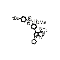 COc1cc(-c2cn(C3CCCC3)c3ncnc(N)c23)ccc1NS(=O)(=O)c1ccc(C(C)(C)C)cc1